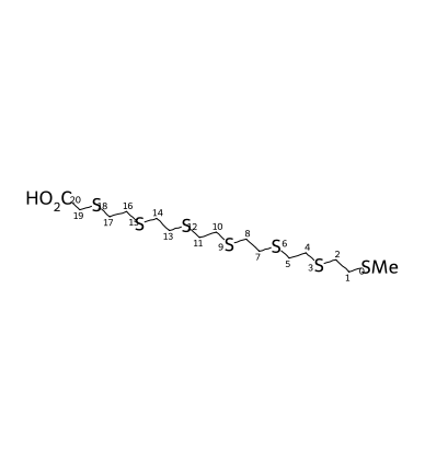 CSCCSCCSCCSCCSCCSCCSCC(=O)O